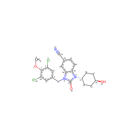 COc1c(Cl)cc(Cn2c(=O)n([C@H]3CC[C@H](O)CC3)c3ccc(C#N)cc32)cc1Cl